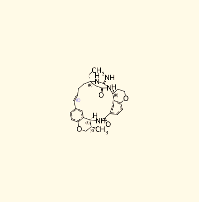 CC[C@]12CC/C=C/c3ccc4c(c3)[C@@H](NC(=O)c3ccc5c(c3)[C@@H](CCO5)N(C(=N)N1)C(=O)C2)[C@@H](C)CO4